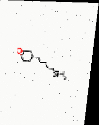 [SiH3]CCCCCC1CCC2OC2C1